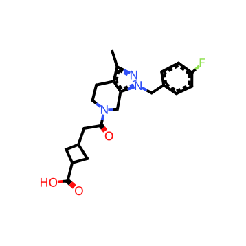 Cc1nn(Cc2ccc(F)cc2)c2c1CCN(C(=O)CC1CC(C(=O)O)C1)C2